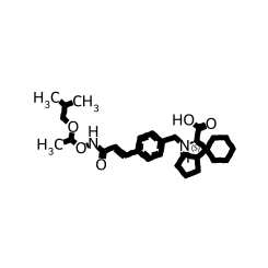 CC(C)COC(C)ONC(=O)C=Cc1ccc(CN[C@H](C(=O)O)C2(C3CCCC3)CCCCC2)cc1